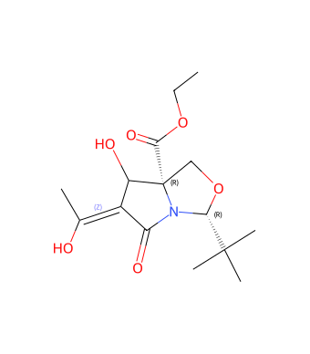 CCOC(=O)[C@]12CO[C@H](C(C)(C)C)N1C(=O)/C(=C(/C)O)C2O